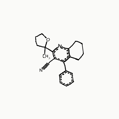 CC1(c2nc3c(c(-c4ccccc4)c2C#N)CCCC3)CCCO1